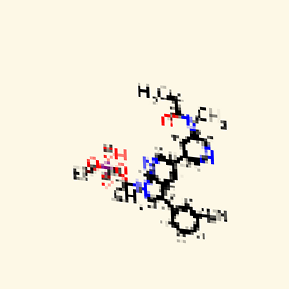 C=CC(=O)N(C)c1cncc(-c2cnc3c(c2)c(-c2cccc(C#N)c2)cn3C(C)OP(=O)(O)OCC)c1